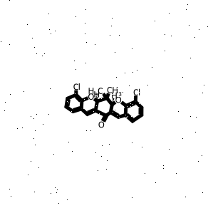 CC1(C)[C@@H]2Oc3c(Cl)cccc3C=C2C(=O)C2=Cc3cccc(Cl)c3O[C@@H]21